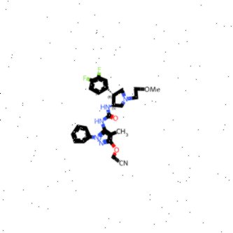 COCCN1C[C@@H](NC(=O)Nc2c(C)c(OCC#N)nn2-c2ccccc2)[C@H](c2ccc(F)c(F)c2)C1